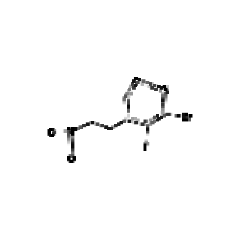 O=[N+]([O-])CCc1ccnc(Br)c1F